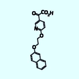 O=C(O)C(=O)c1ccc(OCCOc2ccc3ccccc3c2)nc1